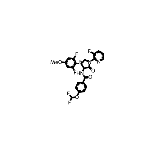 COc1cc(F)c([C@@H]2CN(c3ncccc3F)C(=O)C2NC(=O)c2ccc(OC(F)F)cc2)c(F)c1